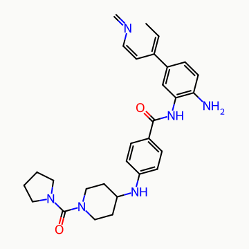 C=N/C=C\C(=C/C)c1ccc(N)c(NC(=O)c2ccc(NC3CCN(C(=O)N4CCCC4)CC3)cc2)c1